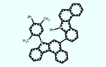 Cc1cc(-n2c3ccccc3c3c4ccccc4c(-c4cccc5c6c7ccccc7ccc6n(C(C)C)c45)cc32)c(C)cc1C(C)C